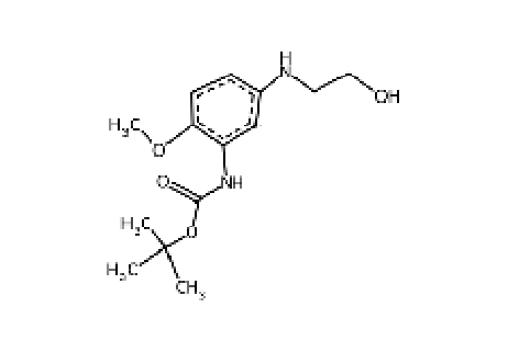 COc1ccc(NCCO)[c]c1NC(=O)OC(C)(C)C